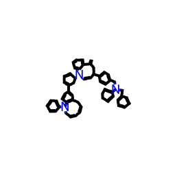 C=C1CC(c2ccc(CN(Cc3ccccc3)C3=CCCC=C3)cc2)/C=C\N(C2C=CC=C(c3ccc4c(c3)C/C=C\C=C/CN4c3ccccc3)C2)c2ccccc21